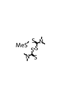 CN(C)C(=S)SSC(=S)N(C)C.CSC